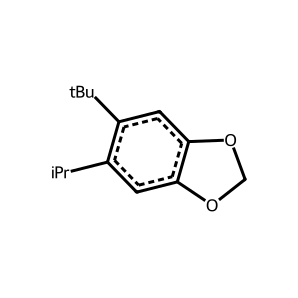 CC(C)c1cc2c(cc1C(C)(C)C)OCO2